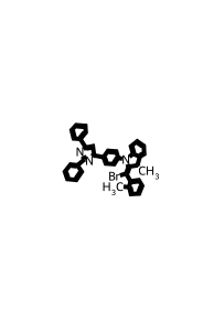 Cc1ccccc1/C(Br)=C1\C(C)c2ccccc2N1c1ccc(-c2cc(-c3ccccc3)nc(-c3ccccc3)n2)cc1